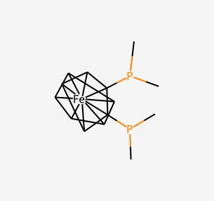 CP(C)[C]12[CH]3[CH]4[CH]5[C]1(P(C)C)[Fe]43521678[CH]2[CH]1[CH]6[CH]7[CH]28